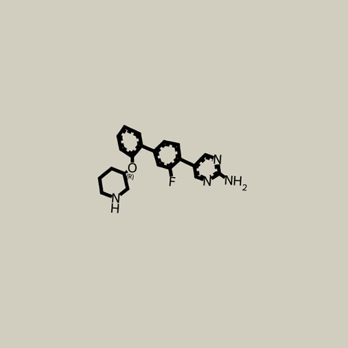 Nc1ncc(-c2ccc(-c3ccccc3O[C@@H]3CCCNC3)cc2F)cn1